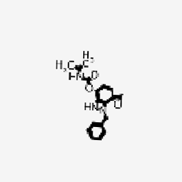 CC(C)NC(=O)O[C@@H]1CC[C@]2(CO2)c2c1[nH]n2Cc1ccccc1